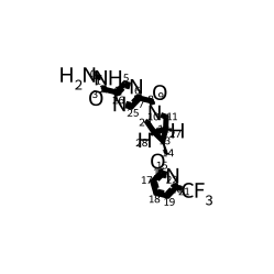 NNC(=O)c1cnc(C(=O)N2C[C@@H]3[C@@H](COc4cccc(C(F)(F)F)n4)[C@@H]3C2)cn1